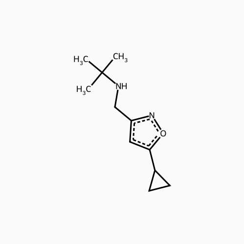 CC(C)(C)NCc1cc(C2CC2)on1